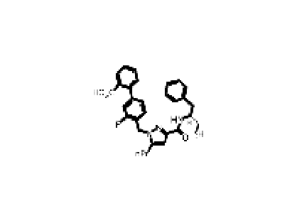 CCCc1cc(C(=O)N[C@@H](CS)Cc2ccccc2)nn1Cc1ccc(-c2ccccc2C(=O)O)cc1F